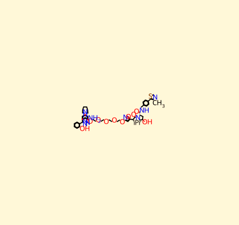 Cc1ncsc1-c1ccc(CNC(=O)[C@@H]2C[C@@H](O)CN2C(=O)[C@H](c2cc(OCCOCCOCCOCCOc3cc(N4C5CCC4CN(c4cc(-c6ccccc6O)nnc4N)C5)ccn3)no2)C(C)C)cc1